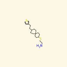 NCCSC1CCC2(CCC(CCc3ccsc3)CC2)CC1